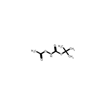 CC(=O)ONC(=O)OC(C)(C)C